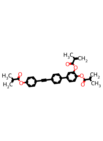 C=C(C)C(=O)Oc1ccc(C#Cc2ccc(-c3ccc(OC(=O)C(=C)C)c(OC(=O)C(=C)C)c3)cc2)cc1